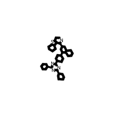 c1ccc(-c2nc(-c3ccccc3)nc(-c3ccc(-c4cc(-c5nccc6sc7ccccc7c56)cc5ccccc45)cc3)n2)cc1